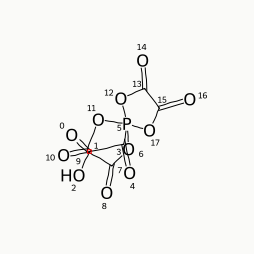 O=C(O)C(=O)P12(OC(=O)C(=O)O1)OC(=O)C(=O)O2